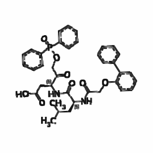 CC(C)C[C@H](NC(=O)COc1ccccc1-c1ccccc1)C(=O)N[C@@H](CC(=O)O)C(=O)COP(=O)(c1ccccc1)c1ccccc1